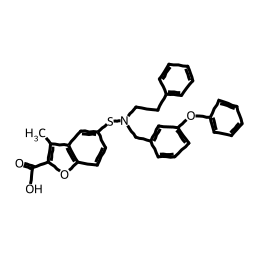 Cc1c(C(=O)O)oc2ccc(SN(CCc3ccccc3)Cc3cccc(Oc4ccccc4)c3)cc12